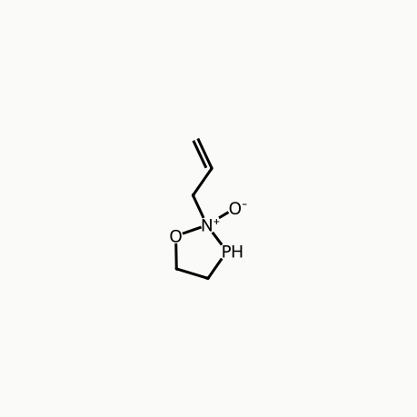 C=CC[N+]1([O-])OCCP1